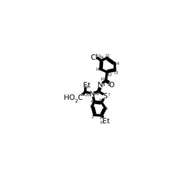 CCc1ccc2c(c1)s/c(=N\C(=O)c1cccc(Cl)c1)n2C(CC)C(=O)O